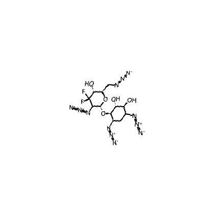 [N-]=[N+]=NC[C@H]1O[C@H](O[C@@H]2C(N=[N+]=[N-])CC(N=[N+]=[N-])[C@H](O)[C@H]2O)C(N=[N+]=[N-])C(F)(F)[C@@H]1O